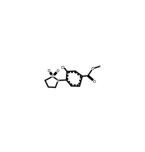 O=C(OI)c1ccc(N2CCCS2(=O)=O)c(Cl)c1